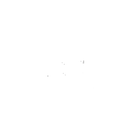 Cc1cc(N/N=C2/C=CC(S)=CC2=N)c(O)c(C(C)(C)C)c1